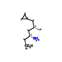 C[C@@H](CC1CC1)C[C@H](N)CC(=O)O